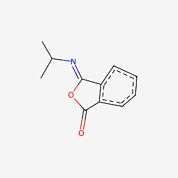 CC(C)N=C1OC(=O)c2ccccc21